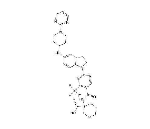 O=C(NC1(C(=O)O)CCCCC1)c1cnc(N2CCc3cc(NC4CCN(c5ncccn5)CC4)ccc32)nc1C(F)(F)F